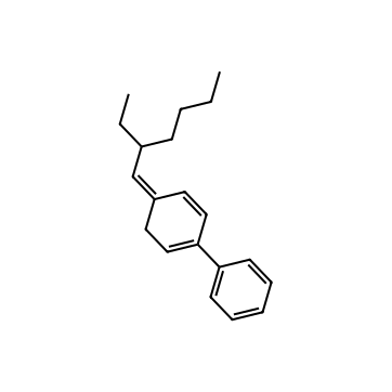 CCCCC(C=C1C=CC(c2ccccc2)=CC1)CC